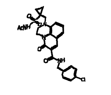 CC(=O)NS(=O)(=O)C1(CN2CCn3c(=O)c(C(=O)NCc4ccc(Cl)cc4)cc4cccc2c43)CC1